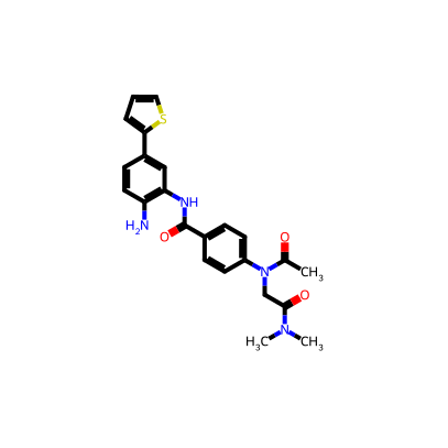 CC(=O)N(CC(=O)N(C)C)c1ccc(C(=O)Nc2cc(-c3cccs3)ccc2N)cc1